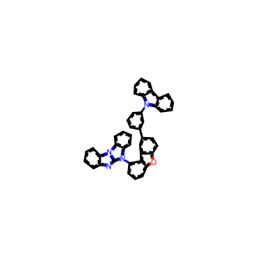 c1cc(-c2ccc3oc4cccc(-n5c6ccccc6n6c7ccccc7nc56)c4c3c2)cc(-n2c3ccccc3c3ccccc32)c1